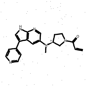 C=CC(=O)N1CC[C@H](N(C)c2cnc3[nH]cc(-c4ccncc4)c3c2)C1